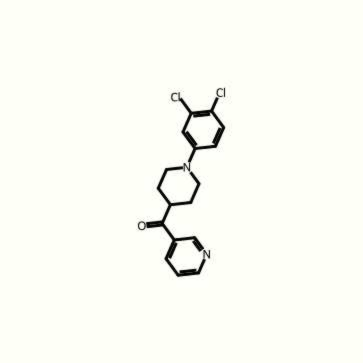 O=C(c1cccnc1)C1CCN(c2ccc(Cl)c(Cl)c2)CC1